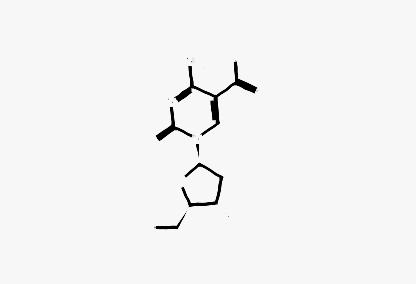 C=C(Br)c1cn([C@H]2C[C@H](O)[C@@H](CO)O2)c(=O)nc1N